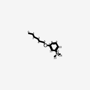 CCCCCCOc1cccc(N(C)C)c1